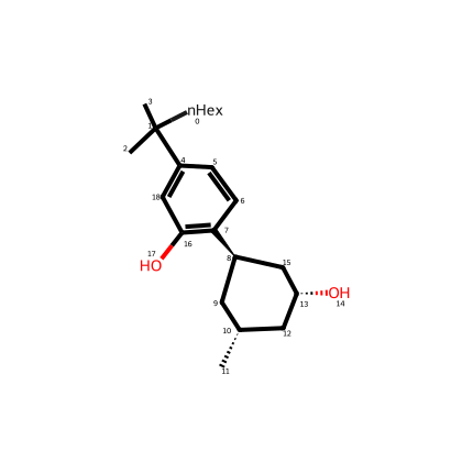 CCCCCCC(C)(C)c1ccc([C@@H]2C[C@@H](C)C[C@@H](O)C2)c(O)c1